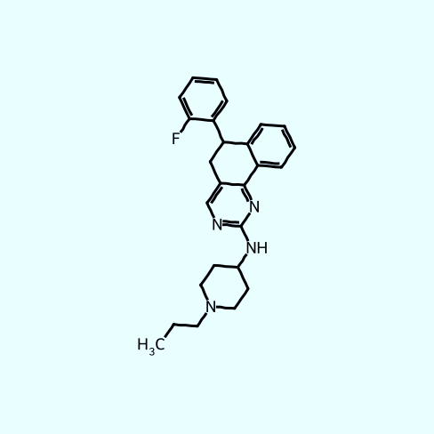 CCCN1CCC(Nc2ncc3c(n2)-c2ccccc2C(c2ccccc2F)C3)CC1